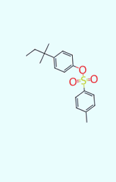 CCC(C)(C)c1ccc(OS(=O)(=O)c2ccc(C)cc2)cc1